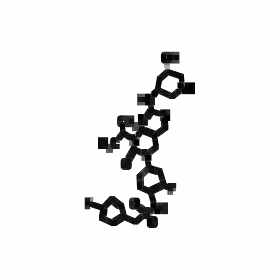 CC(C)N1C(=O)N(c2ccc(NS(=O)(=O)Cc3ccc(F)cc3)c(F)c2)Cc2cnc(N[C@@H]3CNC[C@@H](O)C3)nc21